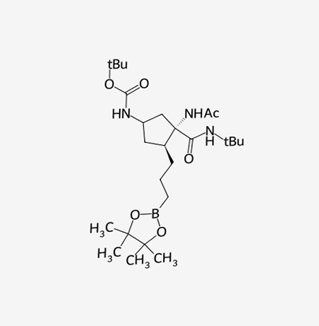 CC(=O)N[C@@]1(C(=O)NC(C)(C)C)CC(NC(=O)OC(C)(C)C)C[C@@H]1CCCB1OC(C)(C)C(C)(C)O1